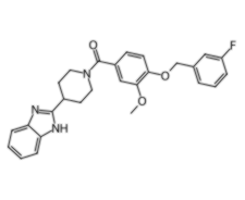 COc1cc(C(=O)N2CCC(c3nc4ccccc4[nH]3)CC2)ccc1OCc1cccc(F)c1